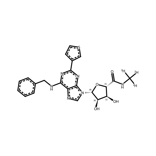 [2H]C([2H])([2H])NC(=O)[C@H]1O[C@@H](n2cnc3c(NCc4ccccc4)nc(-c4ccsc4)nc32)[C@H](O)[C@@H]1O